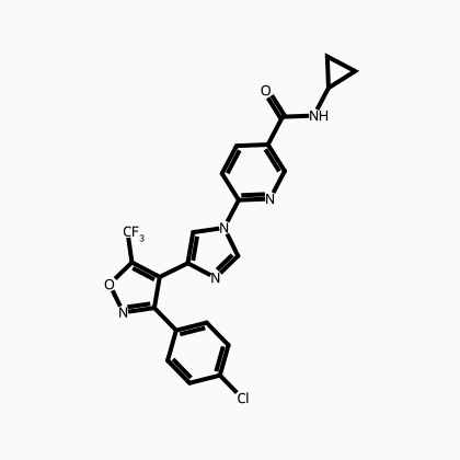 O=C(NC1CC1)c1ccc(-n2cnc(-c3c(-c4ccc(Cl)cc4)noc3C(F)(F)F)c2)nc1